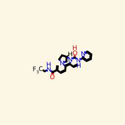 C=CC1=C(/C=C\C(=C)C(=O)NCC(F)(F)F)N2CC[C@@H](C2)N1C(O)Nc1ccccn1